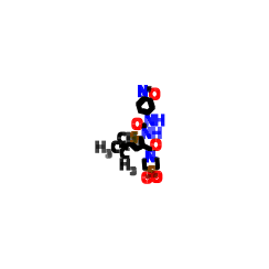 CC(C)(C)c1cc(C(=O)N2CCS(=O)(=O)CC2)c(NC(=O)Nc2ccc3ncoc3c2)s1